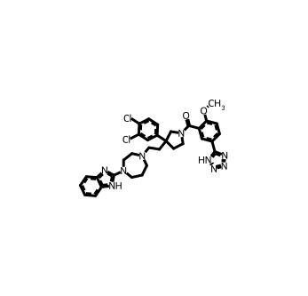 COc1ccc(-c2nnn[nH]2)cc1C(=O)N1CCC(CCN2CCCN(c3nc4ccccc4[nH]3)CC2)(c2ccc(Cl)c(Cl)c2)C1